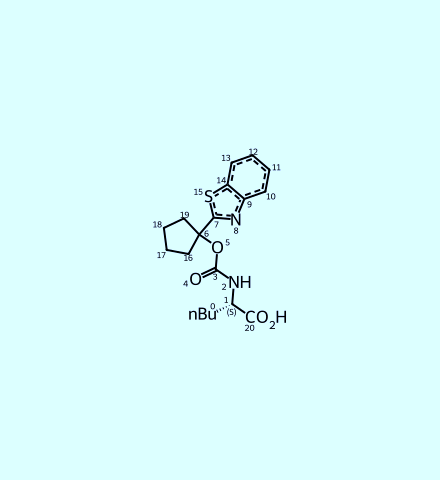 CCCC[C@H](NC(=O)OC1(c2nc3ccccc3s2)CCCC1)C(=O)O